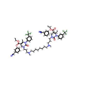 CCOC(=O)C1=C(C)N(c2cccc(C(F)(F)F)c2)C(=O)N(CCCN(C)CCCCCCCCN(C)CCCN2C(=O)N(c3cccc(C(F)(F)F)c3)C(C)=C(C(=O)OCC)[C@H]2c2ccc(C#N)cc2)[C@@H]1c1ccc(C#N)cc1